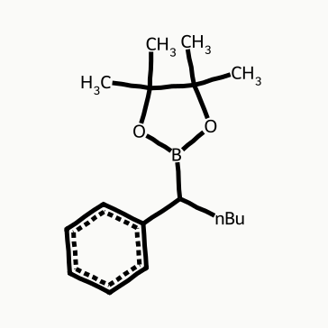 CCCCC(B1OC(C)(C)C(C)(C)O1)c1ccccc1